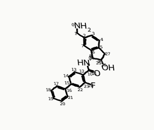 NCc1ccc2c(c1)[C@@H](NC(=O)c1ccc(-c3ccccc3)cc1F)[C@H](O)C2